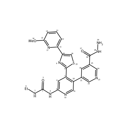 CCNC(=O)Nc1cc(-c2nc(-c3cccc(OC)n3)cs2)c(-c2cncc(C(=O)NN)c2)cn1